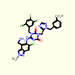 Cn1cc2c(CN)c(Nc3nc(=O)n(Cc4ncnn4Cc4cccc(C(=O)O)c4)c(=O)n3Cc3cc(F)c(F)cc3F)c(Cl)cc2n1